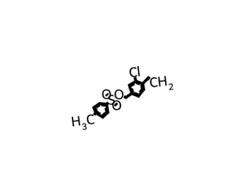 C=Cc1ccc(COS(=O)(=O)c2ccc(C)cc2)cc1Cl